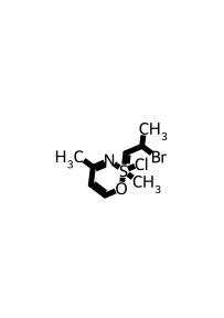 CC1=NS(C)(Cl)(=CC(C)Br)OC=C1